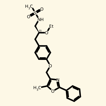 CCO[C@H](CNS(C)(=O)=O)Cc1ccc(OCc2nc(-c3ccccc3)oc2C)cc1